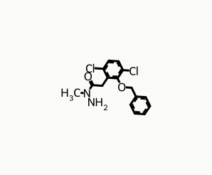 CN(N)C(=O)Cc1c(Cl)ccc(Cl)c1OCc1ccccc1